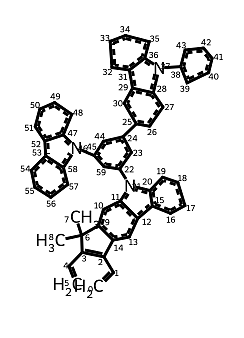 C=CC1=C(C=C)C(C)(C)c2cc3c(cc21)c1ccccc1n3-c1cc(-c2ccc3c(c2)c2ccccc2n3-c2ccccc2)cc(-n2c3ccccc3c3ccccc32)c1